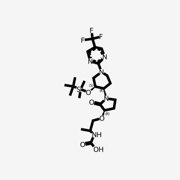 CC(CO[C@@H]1CCN([C@@H]2CCN(c3ncc(C(F)(F)F)cn3)C[C@@H]2O[Si](C)(C)C(C)(C)C)C1=O)NC(=O)O